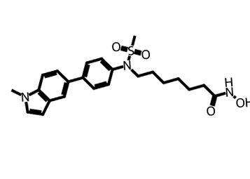 Cn1ccc2cc(-c3ccc(N(CCCCCCC(=O)NO)S(C)(=O)=O)cc3)ccc21